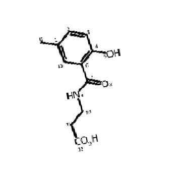 Cc1ccc(O)c(C(=O)NCCC(=O)O)c1